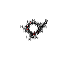 CC[C@H](C)[C@@H]1NC(=O)[C@@H](CCCNC(=N)NC(=O)Nc2cccc(Br)c2)NC(=O)[C@H](C)NC(=O)[C@H]([C@H](O)C(C)CC(C)C)NC(=O)[C@@H](NC(=O)[C@H](CC(C)C)NC(=O)[C@H](N)CC(C)C)[C@@H](c2ccccc2)OC(=O)[C@H](CO)NC(=O)[C@H]([C@H](O)C(N)=O)NC(=O)CNC(=O)[C@H]([C@H](C)O)NC1=O